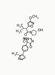 COc1cc(C(C(=O)N2C[C@H](O)C[C@@H]2C2=NC(=O)C(C)(c3ccc(-c4scnc4C)cc3)N2)C(C)C)on1